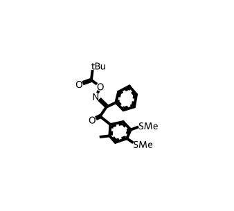 CSc1cc(C)c(C(=O)/C(=N/OC(=O)C(C)(C)C)c2ccccc2)cc1SC